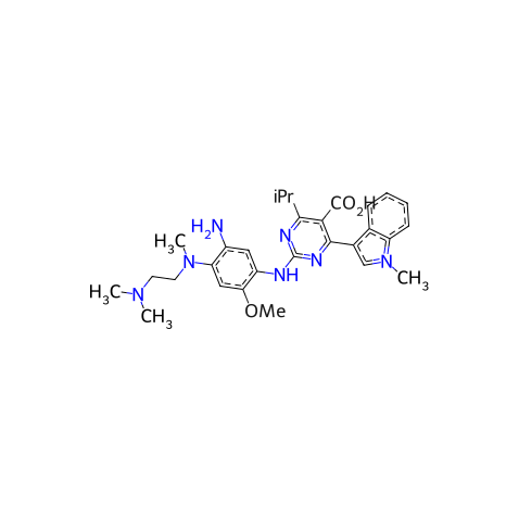 COc1cc(N(C)CCN(C)C)c(N)cc1Nc1nc(-c2cn(C)c3ccccc23)c(C(=O)O)c(C(C)C)n1